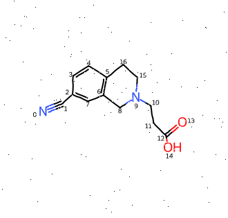 N#Cc1ccc2c(c1)CN(CCC(=O)O)CC2